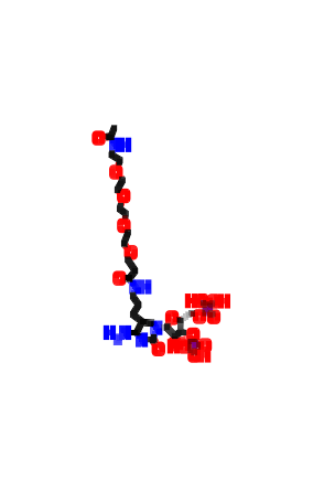 CC(=O)NCCOCCOCCOCCOCCC(=O)NCCCc1cn([C@@H]2O[C@H](COP(=O)(O)O)C(OP(=O)(O)O)[C@@H]2O)c(=O)nc1N